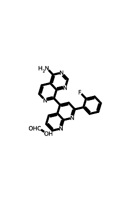 Nc1ncnc2c(-c3cc(-c4ccccc4F)nc4ncccc34)nccc12.O=CO